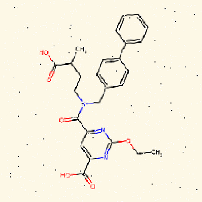 CCOc1nc(C(=O)O)cc(C(=O)N(CCC(C)C(=O)O)Cc2ccc(-c3ccccc3)cc2)n1